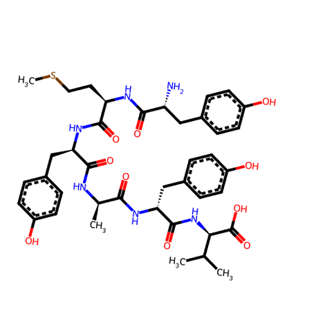 CSCC[C@@H](NC(=O)[C@H](N)Cc1ccc(O)cc1)C(=O)N[C@H](Cc1ccc(O)cc1)C(=O)N[C@H](C)C(=O)N[C@H](Cc1ccc(O)cc1)C(=O)N[C@@H](C(=O)O)C(C)C